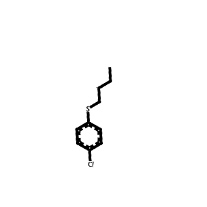 CC[CH]CSc1ccc(Cl)cc1